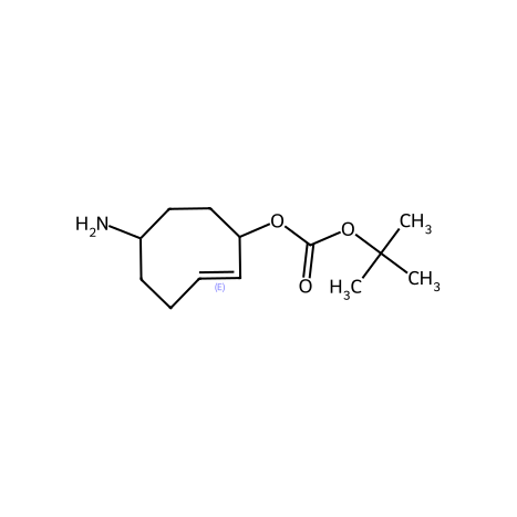 CC(C)(C)OC(=O)OC1/C=C/CCC(N)CC1